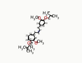 COC1=CC(C/C=C\Cc2ccc(OCC(C)C)c(OC)c2)=CC=CC1(C)OCC(C)C